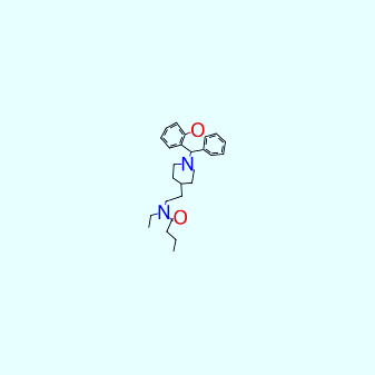 CCCC(=O)N(CC)CCC1CCN(C2c3ccccc3Oc3ccccc32)CC1